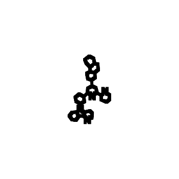 c1ccc(-c2cc(-c3ccc4c(ccc5ccccc54)c3)cc(-c3cccc(-n4c5ccccc5c5ncccc54)c3)n2)nc1